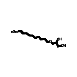 CCCCCCCCCCC=CCCCCCCCCOCC(O)CO